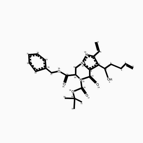 C=CCCC(O)c1c(C=C)nn2c1C(=O)N(C(=O)OC(C)(C)C)C(C(=O)OCc1ccccc1)C2